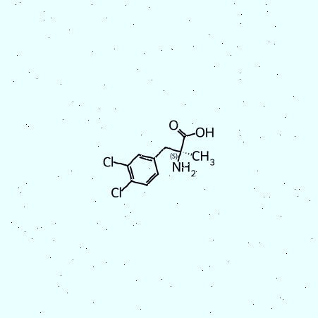 C[C@](N)(Cc1ccc(Cl)c(Cl)c1)C(=O)O